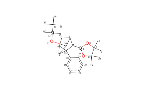 CC1(C)OB(C2C3CC4C(C3O[Si](C)(C)C(C)(C)C)C42c2ccccc2)OC1(C)C